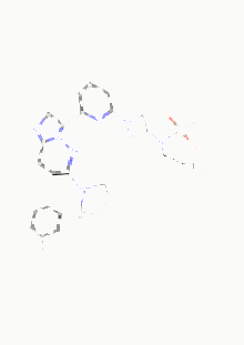 CCN(C1CN(c2cccc(-c3cnc4ccc(N5CCC[C@@H]5c5cccc(F)c5)nn34)n2)C1)S(C)(=O)=O